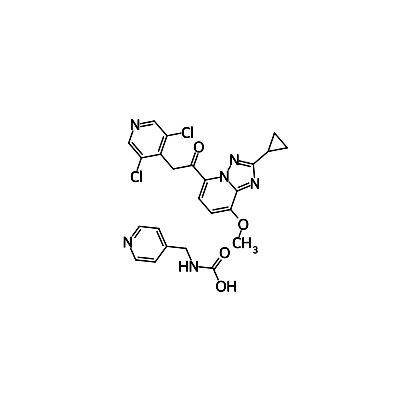 COc1ccc(C(=O)Cc2c(Cl)cncc2Cl)n2nc(C3CC3)nc12.O=C(O)NCc1ccncc1